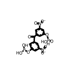 O=C(c1cc(OP(O)O)cc([N+](=O)[O-])c1)c1cc(O[PH](=O)O)cc([N+](=O)[O-])c1